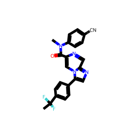 CN(C(=O)c1cn2c(-c3ccc(C(C)(F)F)cc3)cnc2cn1)c1ccc(C#N)cc1